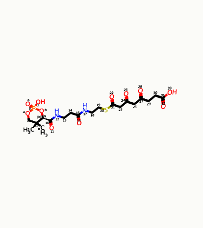 CC1(C)COP(=O)(O)O[C@H]1C(=O)NCCC(=O)NCCSC(=O)CC(=O)CC(=O)CCC(=O)O